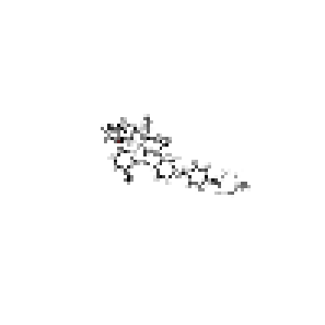 COCOc1ccc(F)cc1C(C(N)=O)(c1nccs1)N1Cc2ccc(-c3ccc(N4CCNCC4)cc3)cc2C1=O